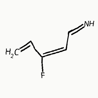 C=C/C(F)=C\C=N